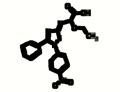 CCOC(N=c1nc(-c2ccccc2)n(-c2ccc([N+](=O)[O-])cc2)s1)C(=O)O